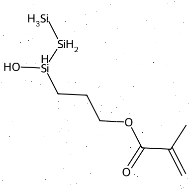 C=C(C)C(=O)OCCC[SiH](O)[SiH2][SiH3]